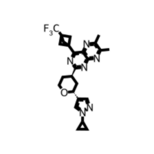 Cc1nc2nc([C@@H]3CCO[C@@H](c4cnn(C5CC5)c4)C3)nc(C34CC(C(F)(F)F)(C3)C4)c2nc1C